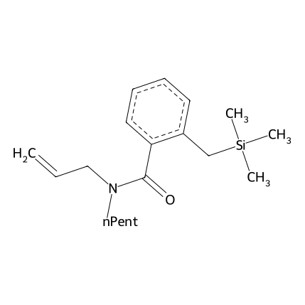 C=CCN(CCCCC)C(=O)c1ccccc1C[Si](C)(C)C